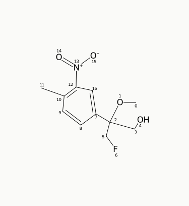 COC(CO)(CF)c1ccc(C)c([N+](=O)[O-])c1